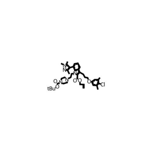 C=CCOC(=O)c1c(CCCOc2cc(C)c(Cl)c(C)c2)c2cccc(-c3c(C)nn(C)c3C)c2n1CCN1CCN(C(=O)OC(C)(C)C)CC1